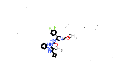 COCCN1C[C@@H](NC(=O)Nc2c(C)c(C3CCC3)nn2-c2ccccc2)[C@H](c2ccc(F)c(F)c2)C1